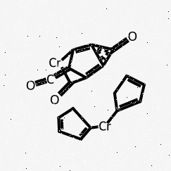 C1=CC[C]([Cr][C]2=CC=CC2)=C1.O=C=C1[C]2=c3c(=O)c3=C1[C](=O)[Cr]2